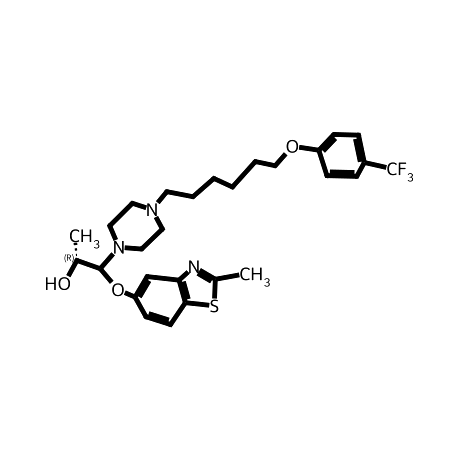 Cc1nc2cc(OC([C@@H](C)O)N3CCN(CCCCCCOc4ccc(C(F)(F)F)cc4)CC3)ccc2s1